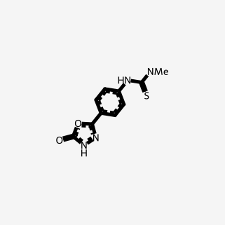 CNC(=S)Nc1ccc(-c2n[nH]c(=O)o2)cc1